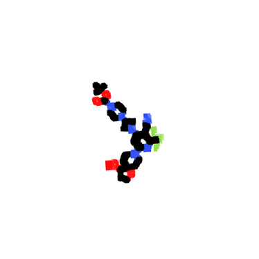 CC(C)(C)OC(=O)N1CCN(C2CN(c3cc(N4CCC5(CC4)OCCC5O)nc(C(F)(F)F)c3C#N)C2)CC1